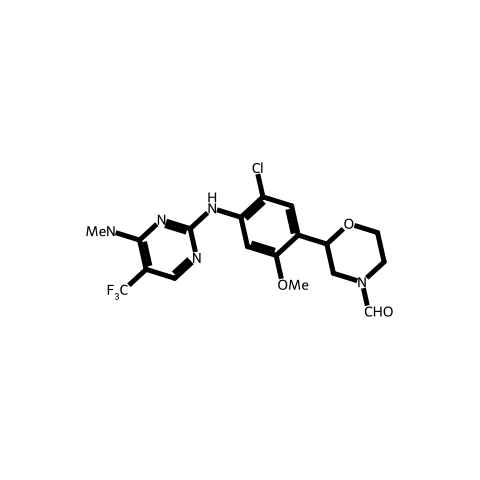 CNc1nc(Nc2cc(OC)c(C3CN(C=O)CCO3)cc2Cl)ncc1C(F)(F)F